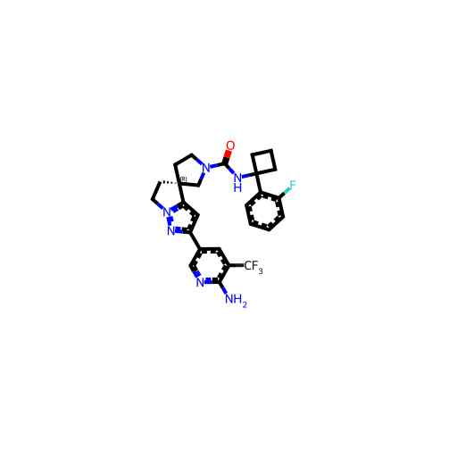 Nc1ncc(-c2cc3n(n2)CC[C@@]32CCN(C(=O)NC3(c4ccccc4F)CCC3)C2)cc1C(F)(F)F